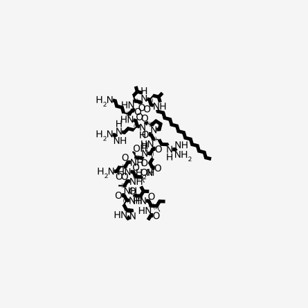 CCCCCCCCCCCCCCCCNC(=O)[C@H](CC(C)C)NC(=O)[C@H](CC(C)C)NC(=O)[C@H](CCCCN)NC(=O)[C@H](CCCNC(=N)N)NC(=O)[C@@H]1CCCN1C(=O)[C@H](CCCNC(=N)N)NC(=O)[C@H](CCC(N)=O)NC(=O)[C@H](CO)NC(=O)[C@H](CC(N)=O)NC(=O)[C@@H](NC(=O)[C@H](C)NC(=O)[C@H](Cc1cnc[nH]1)NC(=O)[C@@H](NC(=O)[C@@H](NC(C)=O)[C@@H](C)CC)C(C)C)[C@@H](C)O